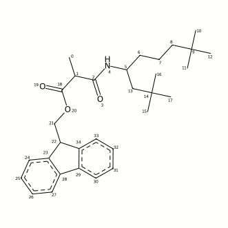 CC(C(=O)NC(CCCC(C)(C)C)CC(C)(C)C)C(=O)OCC1c2ccccc2-c2ccccc21